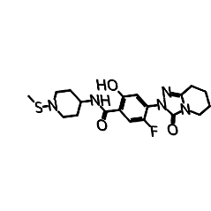 CSN1CCC(NC(=O)c2cc(F)c(-n3nc4n(c3=O)CCCC4)cc2O)CC1